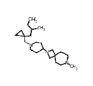 CCC(C)CC1(CN2CCC(N3CC4(CCN(C)CC4)C3)CC2)CC1